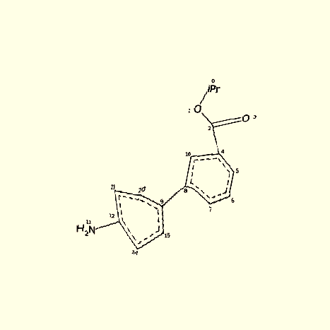 CC(C)OC(=O)c1cccc(-c2ccc(N)cc2)c1